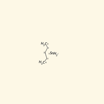 CC[CH]CC.[SnH2]